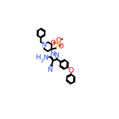 COS(=O)(=O)CC1(n2nc(-c3ccc(Oc4ccccc4)cc3)c(C#N)c2N)CCN(Cc2ccccc2)CC1